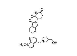 Cn1ccc2c(CN3CCC(CO)C3)cc(-c3ccc4c(c3)CN(C3CCC(=O)NC3=O)C4=O)nc21